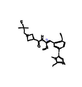 C=N/C(=C\c1cc(-c2cnc(C)n2C)ccc1C)NC(=O)C1CN(CC(C)(C)F)C1